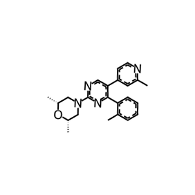 Cc1cc(-c2cnc(N3C[C@@H](C)O[C@@H](C)C3)nc2-c2ccccc2C)ccn1